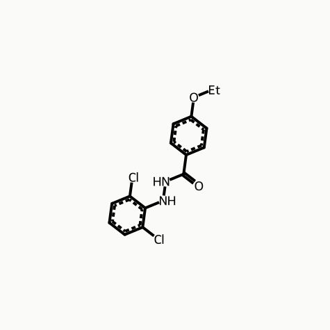 CCOc1ccc(C(=O)NNc2c(Cl)cccc2Cl)cc1